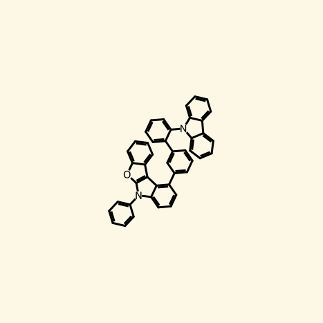 c1ccc(-n2c3cccc(-c4cccc(-c5ccccc5-n5c6ccccc6c6ccccc65)c4)c3c3c4ccccc4oc32)cc1